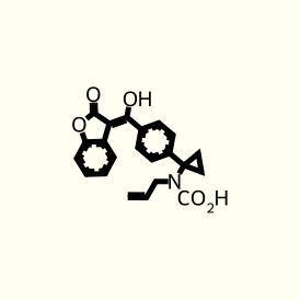 C=CCN(C(=O)O)C1(c2ccc(/C(O)=C3/C(=O)Oc4ccccc43)cc2)CC1